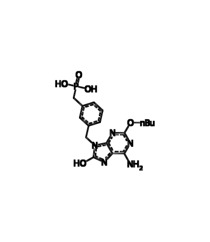 CCCCOc1nc(N)c2nc(O)n(Cc3cccc(CP(=O)(O)O)c3)c2n1